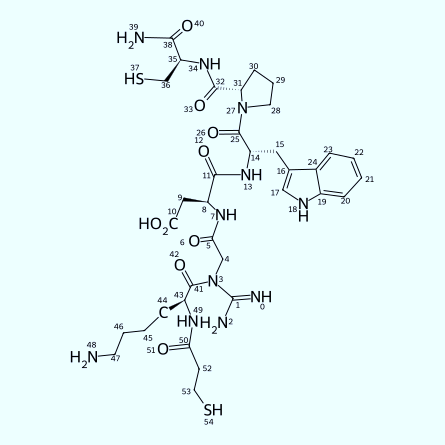 N=C(N)N(CC(=O)N[C@@H](CC(=O)O)C(=O)N[C@@H](Cc1c[nH]c2ccccc12)C(=O)N1CCC[C@H]1C(=O)N[C@@H](CS)C(N)=O)C(=O)[C@H](CCCCN)NC(=O)CCS